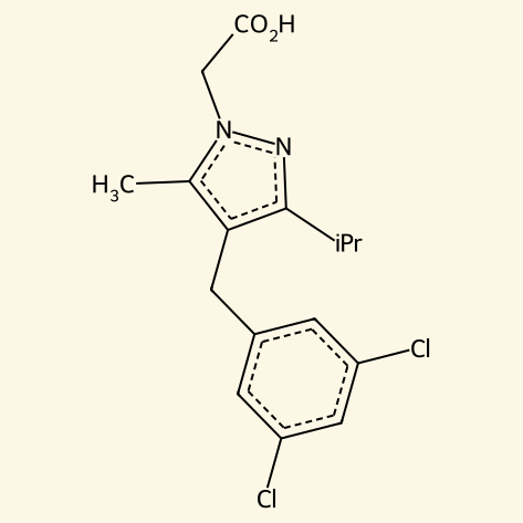 Cc1c(Cc2cc(Cl)cc(Cl)c2)c(C(C)C)nn1CC(=O)O